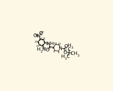 CC(C)(C)OC(=O)N1CCC(C(=O)Nc2cc([N+](=O)[O-])ccc2N)CC1